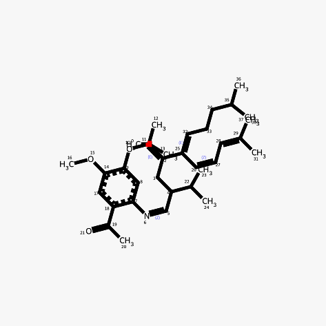 C/C=C(CC(/C=N\c1cc(OC(C)C)c(OC)cc1C(C)=O)C(C)C)/C(/C=C\C=C(C)C)=C/CCC(C)C